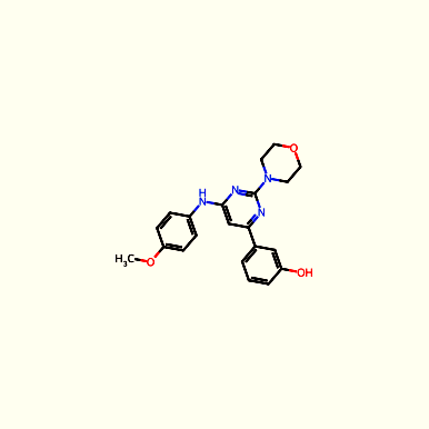 COc1ccc(Nc2cc(-c3cccc(O)c3)nc(N3CCOCC3)n2)cc1